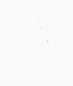 CC1(C)CCC(N(Cc2ccc(-c3cccc(C(N)=O)c3)cc2)C(=O)OC(C)(C)C)CC1